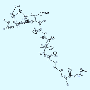 CCC(C)C(C(CC(=O)N1CCCC1C(OC)C(C)C=O)OC)N(C)C(=O)CNC(=O)C(C)(C)N(C)C(=O)CCCCCN(C)C(=O)/C=C\C=O